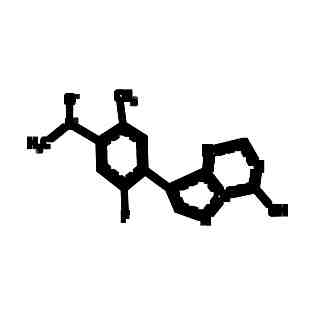 Cc1cc(-c2cnn3c(O)ncnc23)c(F)cc1[S+](C)[O-]